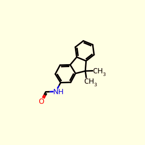 CC1(C)c2ccccc2-c2ccc(NC=O)cc21